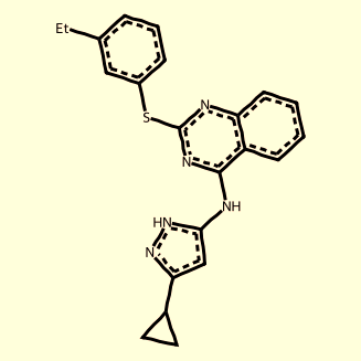 CCc1cccc(Sc2nc(Nc3cc(C4CC4)n[nH]3)c3ccccc3n2)c1